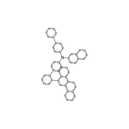 c1ccc(-c2ccc(N(c3ccc(-c4ccccc4-c4cc5c6ccccc6ccc5c5ccccc45)cc3)c3ccc4ccccc4c3)cc2)cc1